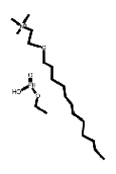 CCCCCCCCCCCCOCC[N+](C)(C)C.CCO[PH](=O)O